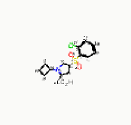 O=C(O)[C@@H]1C[C@@H](S(=O)(=O)c2ccccc2Cl)CN1C1CCC1